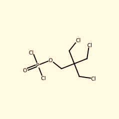 O=P(Cl)(Cl)OCC(CCl)(CCl)CCl